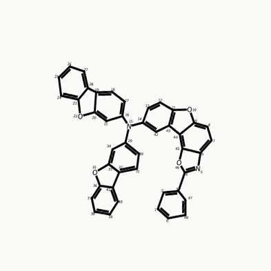 c1ccc(-c2nc3ccc4oc5ccc(N(c6ccc7c(c6)oc6ccccc67)c6ccc7c(c6)oc6ccccc67)cc5c4c3o2)cc1